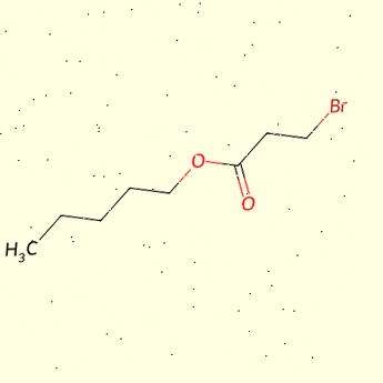 CCCCCOC(=O)CCBr